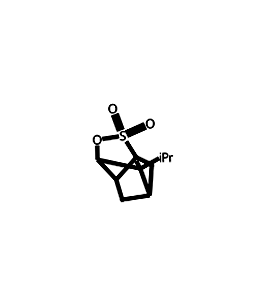 CC(C)C1(C)C2CC3C1OS(=O)(=O)C3C2